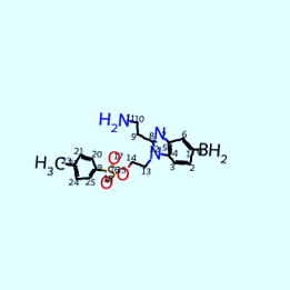 Bc1ccc2c(c1)nc(CCN)n2CCOS(=O)(=O)c1ccc(C)cc1